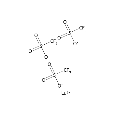 O=S(=O)([O-])C(F)(F)F.O=S(=O)([O-])C(F)(F)F.O=S(=O)([O-])C(F)(F)F.[Lu+3]